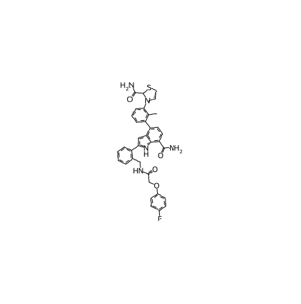 Cc1c(-c2ccc(C(N)=O)c3[nH]c(-c4ccccc4CNC(=O)COc4ccc(F)cc4)cc23)cccc1N1C=CSC1C(N)=O